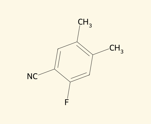 Cc1cc(F)c(C#N)cc1C